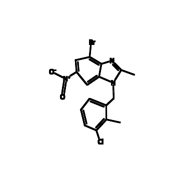 Cc1c(Cl)cccc1Cn1c(C)nc2c(Br)cc([N+](=O)[O-])cc21